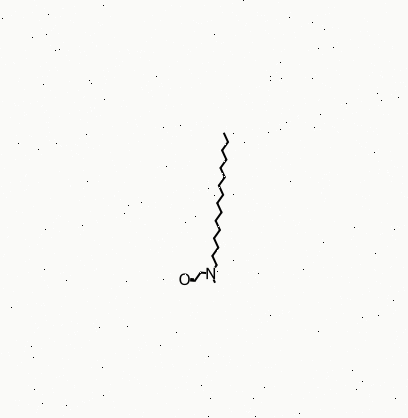 CCCCCCCCCCCCCCCCN(C)CC=O